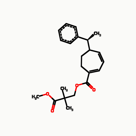 COC(=O)C(C)(C)COC(=O)C1=CC=CC([C@H](C)c2ccccc2)CC1